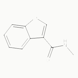 CNC(=O)c1coc2ccccc12